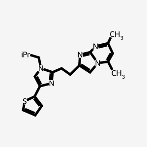 Cc1cc(C)n2cc(CCc3nc(-c4cccs4)cn3CC(C)C)nc2n1